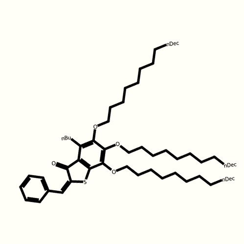 CCCCCCCCCCCCCCCCCCOc1c(CCCC)c2c(c(OCCCCCCCCCCCCCCCCCC)c1OCCCCCCCCCCCCCCCCCC)SC(=Cc1ccccc1)C2=O